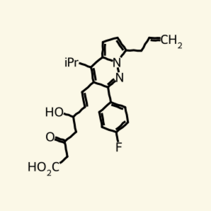 C=CCc1ccc2c(C(C)C)c(C=CC(O)CC(=O)CC(=O)O)c(-c3ccc(F)cc3)nn12